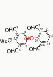 COc1c(C=O)cccc1C=O.O=Cc1cccc(C=O)c1O